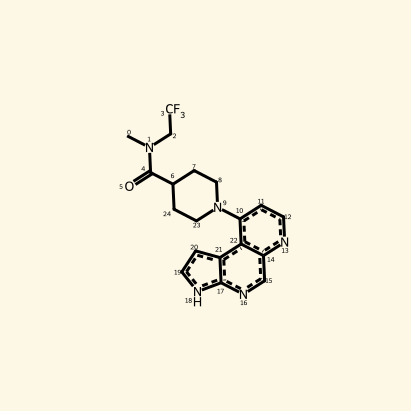 CN(CC(F)(F)F)C(=O)C1CCN(c2ccnc3cnc4[nH]ccc4c23)CC1